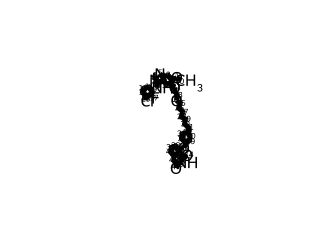 COc1cc2ncnc(Nc3cccc(Cl)c3F)c2cc1OCCOCCCCCCCc1ccc(Oc2cccc3c2C(=O)NC(=O)C3)cc1